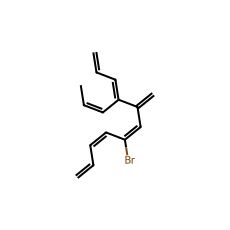 C=C/C=C\C(Br)=C/C(=C)C(/C=C\C)=C/C=C